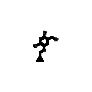 Clc1nc(Br)c(CBr)cc1OCC1CC1